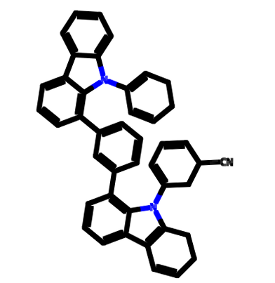 N#CC1C=CC=C(n2c3c(c4cccc(-c5cccc(-c6cccc7c8ccccc8n(C8=CCCC=C8)c67)c5)c42)C=CCC3)C1